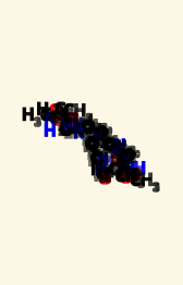 CNC(=O)O[C@H](C(=O)N1CCC[C@H]1c1nc2cc([C@H]3CC[C@H](c4ccc5[nH]c([C@@H]6CCCN6C(=O)[C@@H](NC(=O)OC)C(C)C)nc5c4)N3c3cccc(-c4ccc(N5CCOCC5)nc4)c3)ccc2[nH]1)C(C)C